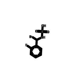 O=S(=O)(O)N[C](Br)c1ccccc1F